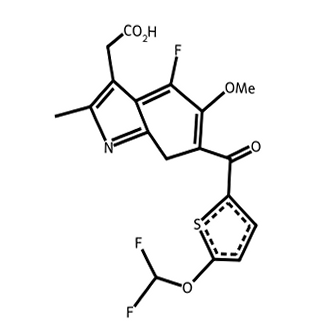 COC1=C(C(=O)c2ccc(OC(F)F)s2)CC2=NC(C)=C(CC(=O)O)C2=C1F